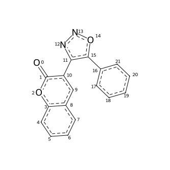 O=c1oc2ccccc2cc1-c1nnoc1-c1ccccc1